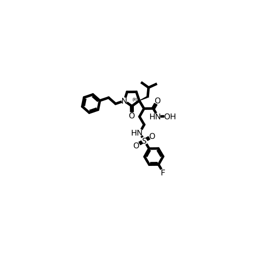 CC(C)C[C@]1(C(CCNS(=O)(=O)c2ccc(F)cc2)C(=O)NO)CCN(CCc2ccccc2)C1=O